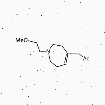 COCCN1CCC=C(CC(C)=O)CC1